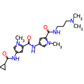 CN(C)CCCNC(=O)c1cc(NC(=O)c2cc(NC(=O)C3CC3)cn2C)cn1C